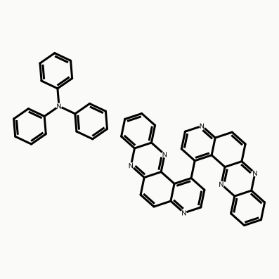 c1ccc(N(c2ccccc2)c2ccccc2)cc1.c1ccc2nc3c(ccc4nccc(-c5ccnc6ccc7nc8ccccc8nc7c56)c43)nc2c1